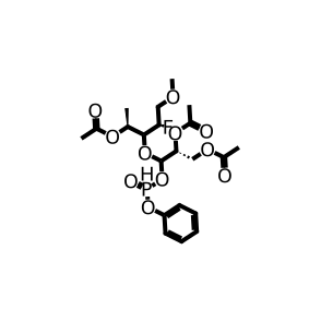 COC[C@H](F)C(OC(O[PH](=O)Oc1ccccc1)[C@@H](COC(C)=O)OC(C)=O)[C@H](C)OC(C)=O